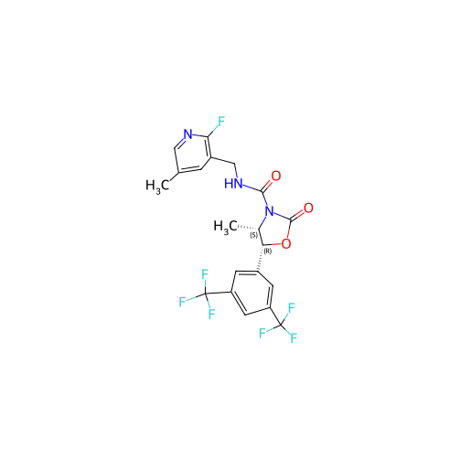 Cc1cnc(F)c(CNC(=O)N2C(=O)O[C@H](c3cc(C(F)(F)F)cc(C(F)(F)F)c3)[C@@H]2C)c1